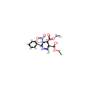 CCOC(=O)c1c(F)nc(-c2ccccc2)c([N+](=O)[O-])c1C(=O)OCC